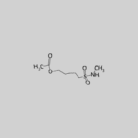 CNS(=O)(=O)CCCCOC(C)=O